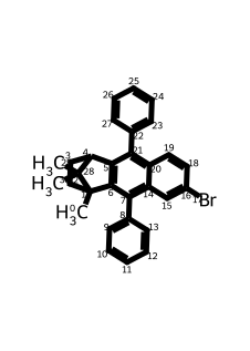 CC12CCC(c3c1c(-c1ccccc1)c1cc(Br)ccc1c3-c1ccccc1)C2(C)C